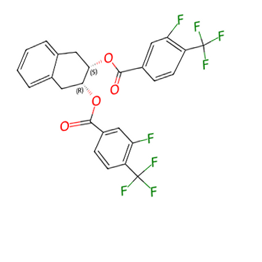 O=C(O[C@H]1Cc2ccccc2C[C@H]1OC(=O)c1ccc(C(F)(F)F)c(F)c1)c1ccc(C(F)(F)F)c(F)c1